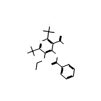 CCOc1c(C(F)(F)F)nc(C(F)(F)F)c(C(=O)O)c1OC(=O)c1ccccc1